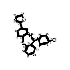 Clc1ccc(C2=Nc3cc(-c4ncco4)ccc3Sc3ccccc32)cc1